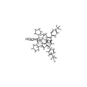 CC(C)(C)c1ccc(-c2cccc3c2C=C(C2CCCCC2)[CH]3[Hf]2([CH]3C(C4CCCCC4)=Cc4c(-c5ccc(C(C)(C)C)cc5)cccc43)[CH2]C[CH2]2)cc1.Cl.Cl